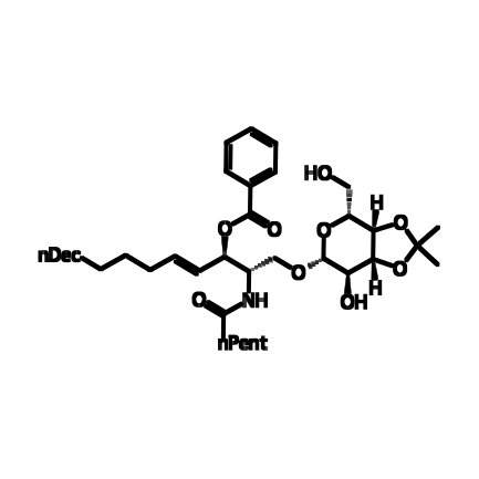 CCCCCCCCCCCCC/C=C/[C@@H](OC(=O)c1ccccc1)[C@H](CO[C@@H]1O[C@H](CO)[C@@H]2OC(C)(C)O[C@@H]2[C@H]1O)NC(=O)CCCCC